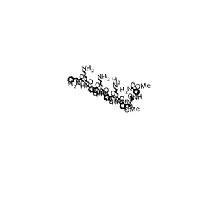 COc1ccc(NC(=O)CNC(=O)c2cc(NC(=O)[C@H](CCCCN)NC(=O)c3cc(NC(=O)[C@H](CCCCN)NC(=O)c4cc(NC(=O)[C@H](CCCCN)NC(=O)[C@@H](N)Cc5ccccc5)ccc4OC)ccc3OC)ccc2OC)cc1C(N)=O